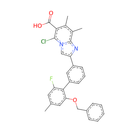 Cc1cc(F)c(-c2cccc(-c3cn4c(Cl)c(C(=O)O)c(C)c(C)c4n3)c2)c(OCc2ccccc2)c1